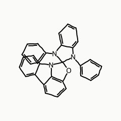 c1ccc(N2c3ccccc3N(c3ccccc3)C23Oc2cccc4c5ccccc5n3c24)cc1